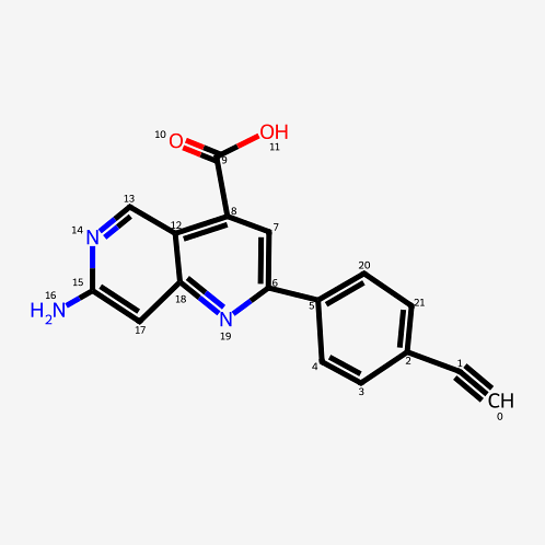 C#Cc1ccc(-c2cc(C(=O)O)c3cnc(N)cc3n2)cc1